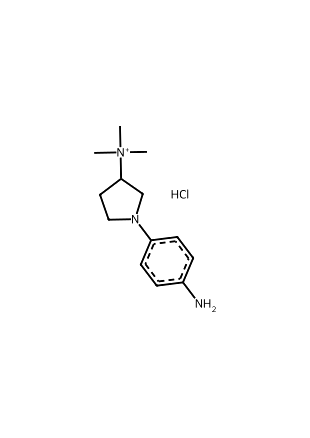 C[N+](C)(C)C1CCN(c2ccc(N)cc2)C1.Cl